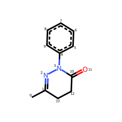 CC1=NN(c2ccccc2)C(=O)CC1